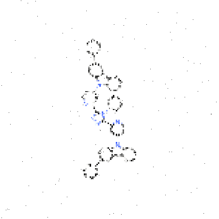 c1ccc(-c2ccc3c(c2)c2ccccc2n3-c2ccnc(-c3nnc(-c4cc(-n5c6ccccc6c6cc(-c7ccccc7)ccc65)ccn4)n3-c3ccccc3)c2)cc1